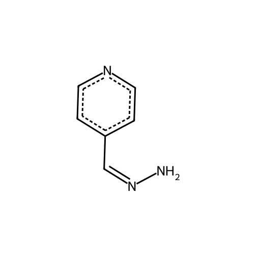 N/N=C\c1ccncc1